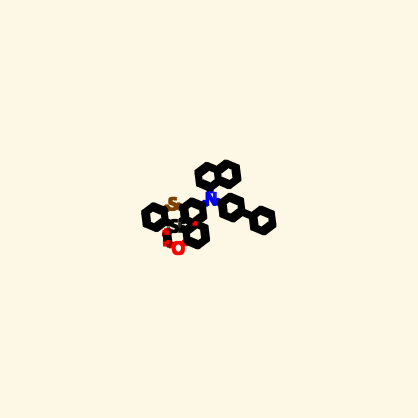 c1ccc(-c2ccc(N(c3ccc4c(c3)Sc3ccccc3[Si]43c4ccccc4Oc4ccccc43)c3cccc4ccccc34)cc2)cc1